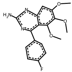 COc1cc2nc(N)nc(-c3ccc(F)cc3)c2c(OC)c1OC